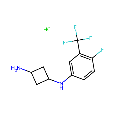 Cl.NC1CC(Nc2ccc(F)c(C(F)(F)F)c2)C1